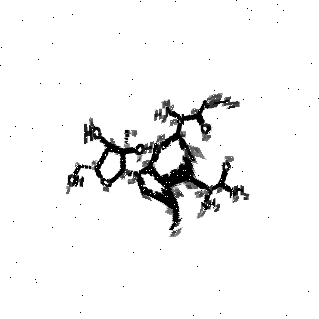 C[C@@]1(O)[C@H](O)[C@@H](CO)O[C@H]1n1cc(F)c2c(N(N)C(N)=O)nc(N(N)C(N)=O)nc21